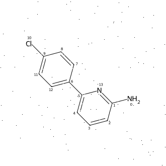 Nc1cccc(-c2ccc(Cl)cc2)n1